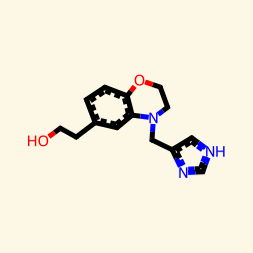 OCCc1ccc2c(c1)N(Cc1c[nH]cn1)CCO2